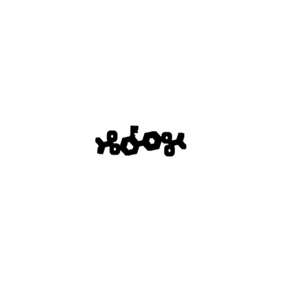 C=C(C)C(=O)OC1=CC(F)=C(c2ccc(OC(=O)C(=C)C)cc2)CC1